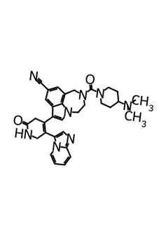 CN(C)C1CCN(C(=O)N2CCn3cc(C4=C(c5cnc6ccccn56)CNC(=O)C4)c4cc(C#N)cc(c43)C2)CC1